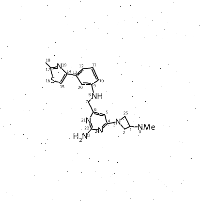 CNC1CN(c2cc(CNc3cccc(-c4csc(C)n4)c3)nc(N)n2)C1